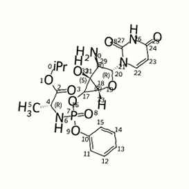 CC(C)OC(=O)[C@@H](C)NP(=O)(Oc1ccccc1)OC1[C@H]2O[C@@H](n3ccc(=O)[nH]c3=O)[C@H](N)[C@@]12O